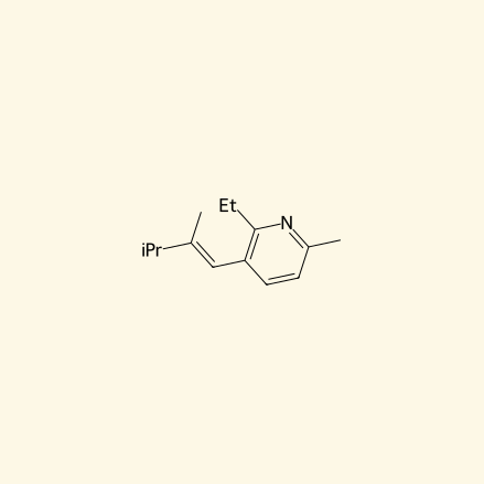 CCc1nc(C)ccc1/C=C(\C)C(C)C